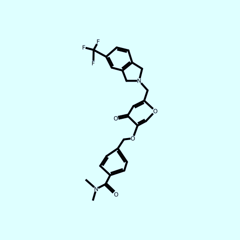 CN(C)C(=O)c1ccc(COc2coc(CN3Cc4ccc(C(F)(F)F)cc4C3)cc2=O)cc1